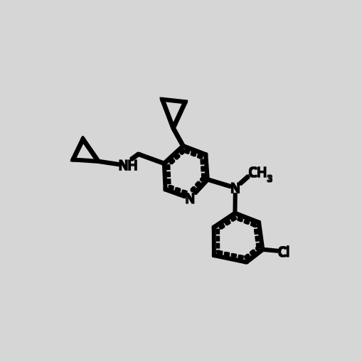 CN(c1cccc(Cl)c1)c1cc(C2CC2)c(CNC2CC2)cn1